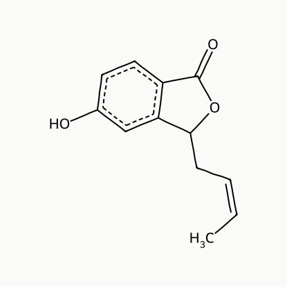 C/C=C\CC1OC(=O)c2ccc(O)cc21